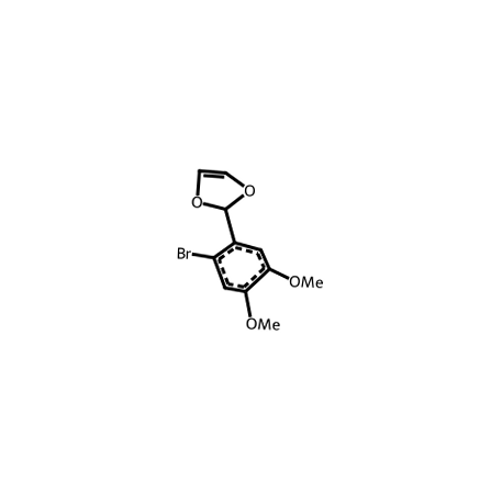 COc1cc(Br)c(C2OC=CO2)cc1OC